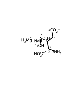 N[C@@H](CCC(=O)O)C(=O)O.O=S(=O)(O)O.[MgH2].[NaH]